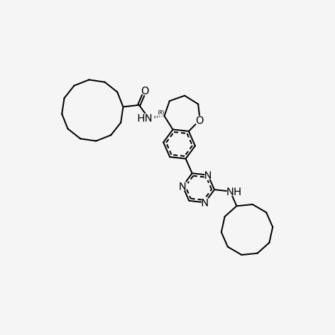 O=C(N[C@@H]1CCCOc2cc(-c3ncnc(NC4CCCCCCCCC4)n3)ccc21)C1CCCCCCCCCCC1